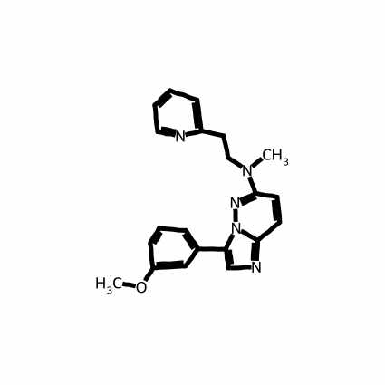 COc1cccc(-c2cnc3ccc(N(C)CCc4ccccn4)nn23)c1